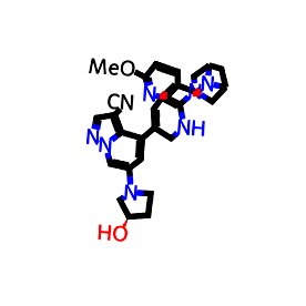 COc1ccc(CN2C3CC2CN(C2=CC=C(c4cc(N5CC[C@H](O)C5)cn5ncc(C#N)c45)CN2)C3)cn1